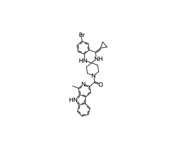 Cc1nc(C(=O)N2CCC3(CC2)NC(=C2CC2)c2cc(Br)ccc2N3)cc2c1[nH]c1ccccc12